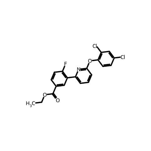 CCOC(=O)c1ccc(F)c(-c2cccc(Oc3ccc(Cl)cc3Cl)n2)c1